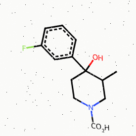 CC1CN(C(=O)O)CCC1(O)c1cccc(F)c1